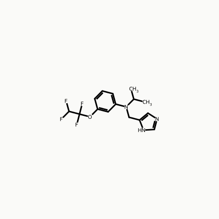 CC(C)N(Cc1cnc[nH]1)c1cccc(OC(F)(F)C(F)F)c1